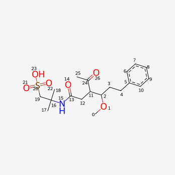 COC(CCc1ccccc1)C(CC(=O)NC(C)(C)CS(=O)(=O)O)C(C)=O